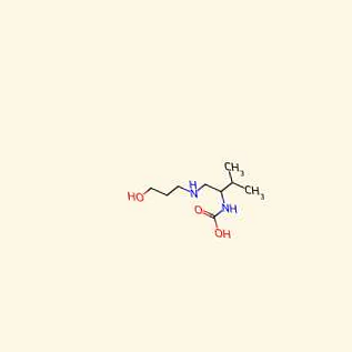 CC(C)C(CNCCCO)NC(=O)O